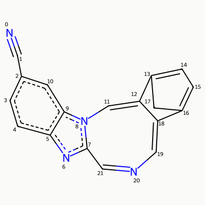 N#Cc1ccc2nc3n(c2c1)/C=C1/C2=CC=C(C2)/C1=C/N=C\3